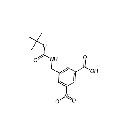 CC(C)(C)OC(=O)NCc1cc(C(=O)O)cc([N+](=O)[O-])c1